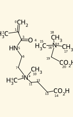 C=C(C)C(=O)NCC[N+](C)(C)CCCC(=O)O.C[N+](C)(C)CC(=O)O